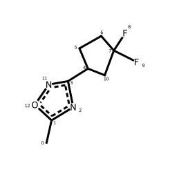 Cc1nc(C2CCC(F)(F)C2)no1